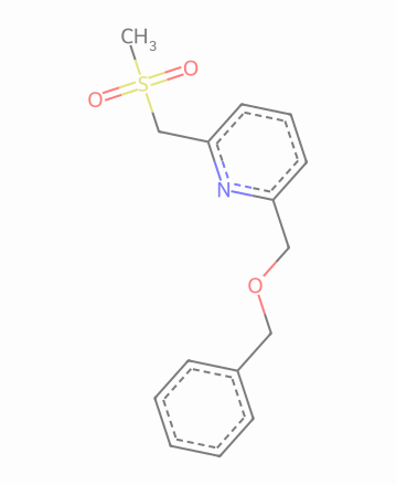 CS(=O)(=O)Cc1cccc(COCc2ccccc2)n1